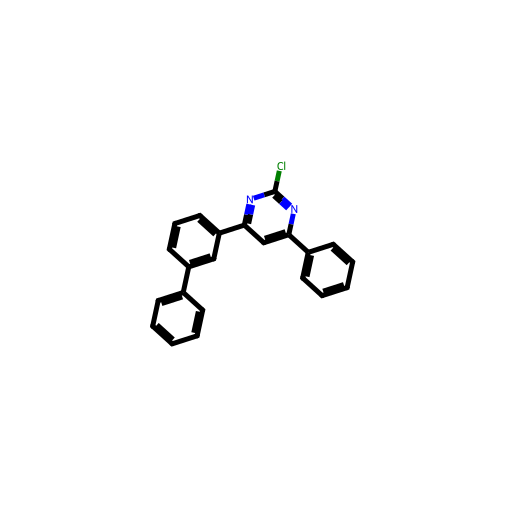 Clc1nc(-c2ccccc2)cc(-c2cccc(-c3ccccc3)c2)n1